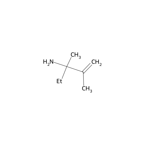 C=C(C)C(C)(N)CC